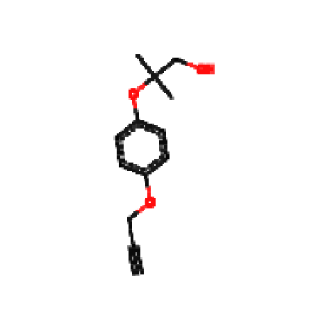 C#CCOc1ccc(OC(C)(C)CO)cc1